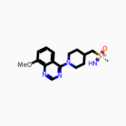 COc1cccc2c(N3CCC(C[S@](C)(=N)=O)CC3)ncnc12